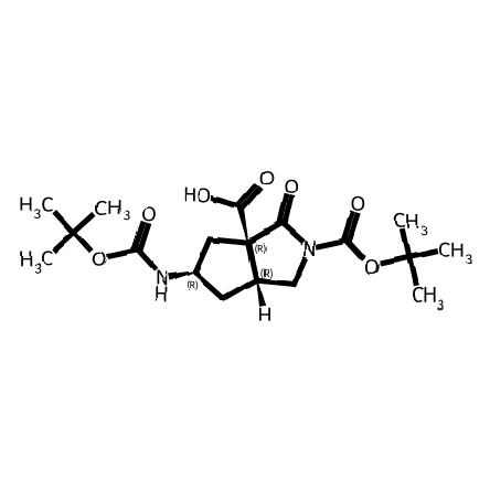 CC(C)(C)OC(=O)N[C@@H]1C[C@H]2CN(C(=O)OC(C)(C)C)C(=O)[C@@]2(C(=O)O)C1